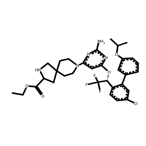 CCOC(=O)C1CC2(CCN(c3cc(O[C@H](c4ccc(Cl)cc4-c4cccc(OC(C)C)c4)C(F)(F)F)nc(N)n3)CC2)CN1